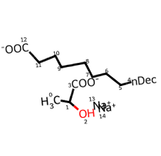 CC(O)C(=O)[O-].CCCCCCCCCCCCCCCCCC(=O)[O-].[Na+].[Na+]